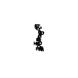 O=C(NC1=CC2N=NNC2C=C1)c1csc(N2CCN(C(=O)OCc3ccc(SC(F)(F)F)cc3)CC2)n1